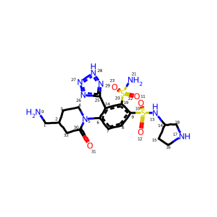 NCC1CCN(c2ccc(S(=O)(=O)NC3CCNC3)c(S(N)(=O)=O)c2-c2nn[nH]n2)C(=O)C1